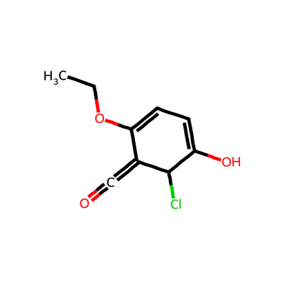 CCOC1=CC=C(O)C(Cl)C1=C=O